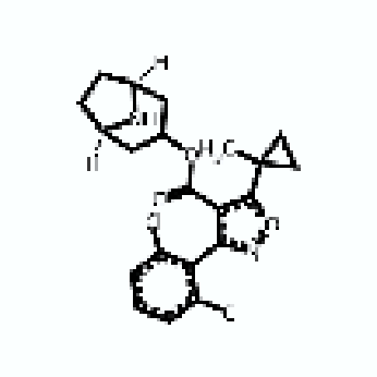 CC1(c2onc(-c3c(Cl)cccc3Cl)c2C(=O)OC2C[C@H]3CC[C@@H](C2)N3)CC1